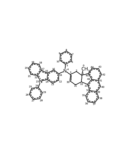 CC12CC(N(c3ccccc3)c3ccc4c(c3)c3ccccc3n4-c3ccccc3)=CCC1c1c3ccccc3cc3cccc2c13